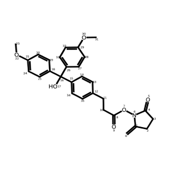 C=C1CCC(=O)N1OC(=O)CCc1ccc(C(O)(c2ccc(OC)cc2)c2ccc(OC)cc2)cc1